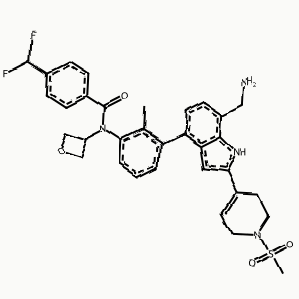 Cc1c(-c2ccc(CN)c3[nH]c(C4=CCN(S(C)(=O)=O)CC4)cc23)cccc1N(C(=O)c1ccc(C(F)F)cc1)C1COC1